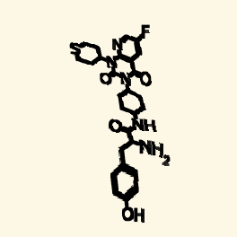 NC(Cc1ccc(O)cc1)C(=O)NC1CCC(n2c(=O)c3cc(F)cnc3n(C3CCSCC3)c2=O)CC1